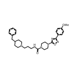 COc1ccc(-c2noc(N3CCN(C(=O)NCCCN4CCC(Cc5ccccc5)CC4)CC3)n2)cc1